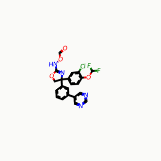 O=CONC1=NC(c2cccc(-c3cncnc3)c2)(c2ccc(OC(F)F)c(Cl)c2)CO1